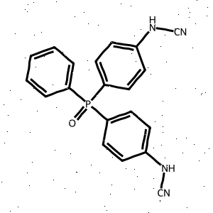 N#CNc1ccc(P(=O)(c2ccccc2)c2ccc(NC#N)cc2)cc1